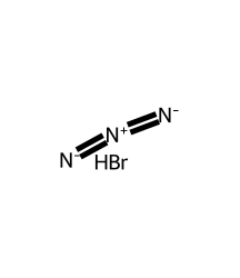 Br.[N-]=[N+]=[N-]